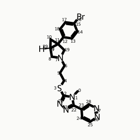 Cn1c(SCCCN2C[C@@H]3CC3(c3ccc(Br)cc3)C2)nnc1-c1ccnnc1